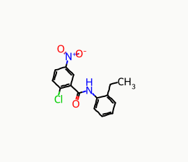 CCc1ccccc1NC(=O)c1cc([N+](=O)[O-])ccc1Cl